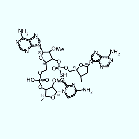 COC1C(OP(=O)(O)OC[C@H]2O[C@@H](n3cnc4c(N)ncnc43)C(OC)C2OP(=O)(S)OC[C@H]2O[C@@H](n3cnc4c(N)ncnc43)CC2C)[C@@H](C)O[C@H]1n1ccc(N)nc1=O